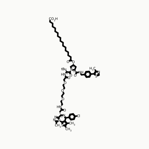 Cc1ncsc1-c1ccc(CNC(=O)[C@@H]2C[C@@H](OC(=O)CCCCCCCCCCCCCCCCC(=O)O)CN2C(=O)[C@@H](NC(=O)COCCOCCOCCNC(=O)C[C@@H]2N=C(c3ccc(Cl)cc3)c3c(sc(C)c3C)-n3c(C)nnc32)C(C)(C)C)cc1